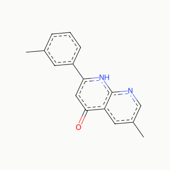 Cc1cccc(-c2cc(=O)c3cc(C)cnc3[nH]2)c1